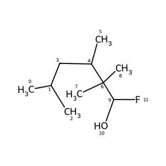 CC(C)CC(C)C(C)(C)C(O)F